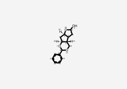 OC1CC2[C@@H](C[C@@H]3OC(c4ccccc4)OC[C@@H]23)O1